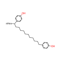 CCCCCCC(CCCCCCCCCCCc1ccc(O)cc1)c1ccc(O)cc1